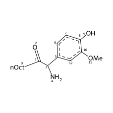 CCCCCCCCC(=O)C(N)c1ccc(O)c(OC)c1